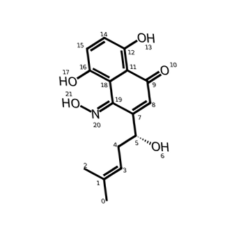 CC(C)=CC[C@@H](O)C1=CC(=O)c2c(O)ccc(O)c2C1=NO